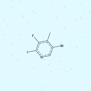 Cc1c(Br)cnc(I)c1F